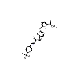 CC(=O)c1cnc(Cn2ncc(NC(=O)/C=C/c3ccc(C(F)(F)F)cc3)n2)s1